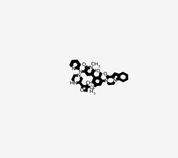 Cn1cc(-c2cc(F)cc(N3CCn4c(cc5c4CCCC5)C3=O)c2CO)cc(N(c2ccccn2)N2CCNC(C3OCC3(C)C)C2)c1=O